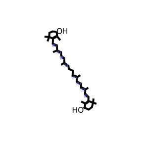 CC1=C(/C=C/C(C)=C/C=C/C(C)=C/CC/C=C(C)/C=C/C=C(C)/C=C/C2=C(C)C(O)CCC2(C)C)C(C)(C)CCC1O